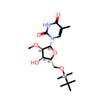 CO[C@@H]1[C@H](O)[C@@H](CO[Si](C)(C)C(C)(C)C)O[C@H]1n1cc(C)c(=O)[nH]c1=O